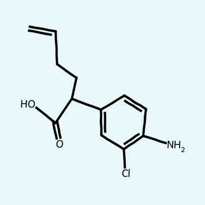 C=CCCC(C(=O)O)c1ccc(N)c(Cl)c1